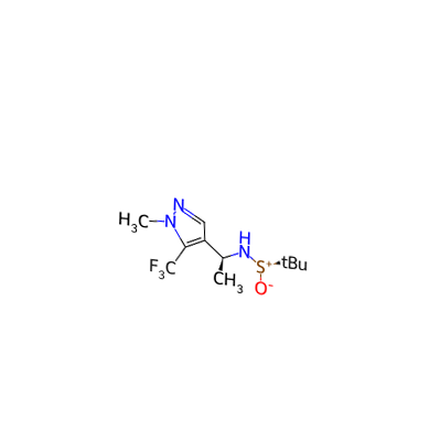 C[C@H](N[S@+]([O-])C(C)(C)C)c1cnn(C)c1C(F)(F)F